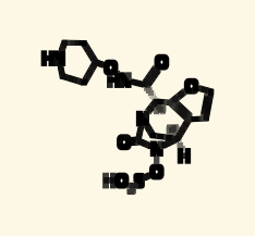 O=C(NOC1CCNCC1)[C@@H]1c2occc2[C@@H]2CN1C(=O)N2OS(=O)(=O)O